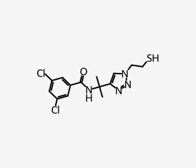 CC(C)(NC(=O)c1cc(Cl)cc(Cl)c1)c1cn(CCS)nn1